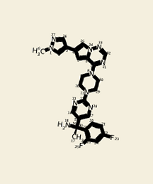 Cn1cc(-c2cc3c(N4CCN(c5ncc([C@@](C)(N)c6ccc(F)cc6F)cn5)CC4)ncnn3c2)cn1